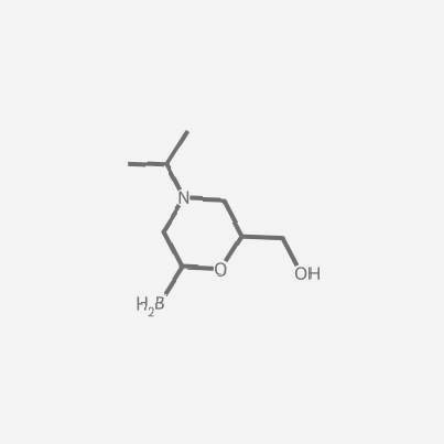 BC1CN(C(C)C)CC(CO)O1